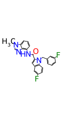 Cn1cnc2c(NC(=O)c3cc4cc(F)ccc4n3Cc3cccc(F)c3)cccc21